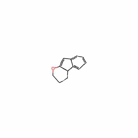 C1=C2OCCCC2c2ccccc21